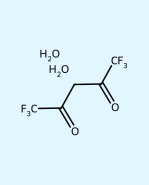 O.O.O=C(CC(=O)C(F)(F)F)C(F)(F)F